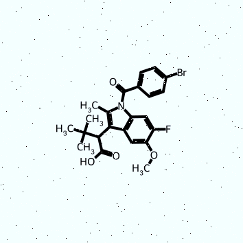 COc1cc2c(C(C(=O)O)C(C)(C)C)c(C)n(C(=O)c3ccc(Br)cc3)c2cc1F